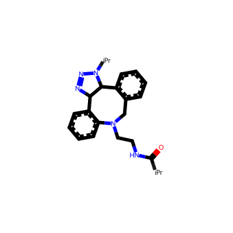 CC(C)C(=O)NCCN1Cc2ccccc2C2C(N=NN2C(C)C)c2ccccc21